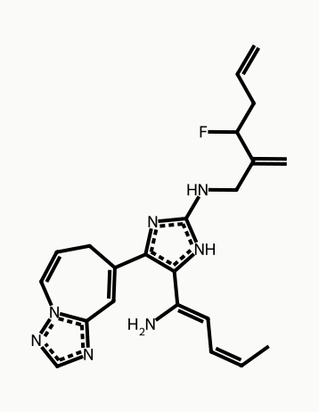 C=CCC(F)C(=C)CNc1nc(C2=Cc3ncnn3C=CC2)c(/C(N)=C/C=C\C)[nH]1